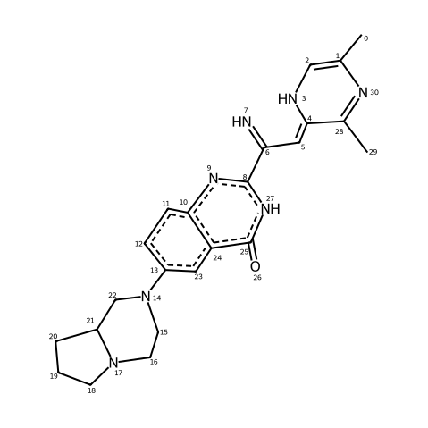 CC1=CN/C(=C\C(=N)c2nc3ccc(N4CCN5CCCC5C4)cc3c(=O)[nH]2)C(C)=N1